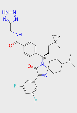 CC(C)C1CCC2(CC1)N=C(c1cc(F)cc(F)c1)C(=O)N2[C@H](CCC1(C)CC1)c1ccc(C(=O)NCc2nn[nH]n2)cc1